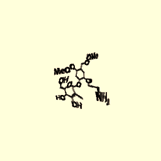 COOCC1CC(OCCN)C(OC2OC(CO)C(O)C(O)C2C)CC1OOC